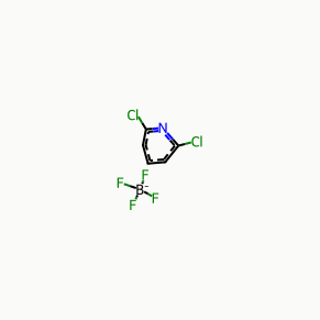 Clc1cccc(Cl)n1.F[B-](F)(F)F